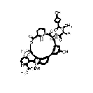 CCn1c(-c2cccnc2[C@H](C)OC)c2c3cc(ccc31)-c1cc(O)cc(c1)C[C@H](NC(=O)C(C(C)C)N(C)C(=O)C1CC(O)C1)C(=O)N1CCC[C@H](N1)C(=O)OCC(C)(C)C2